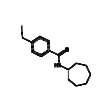 O=C(NC1CCCCCC1)c1ccc(CI)cc1